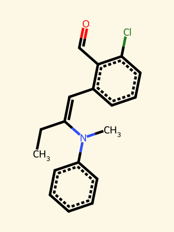 CC/C(=C/c1cccc(Cl)c1C=O)N(C)c1ccccc1